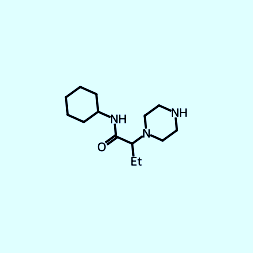 CCC(C(=O)NC1CCCCC1)N1CCNCC1